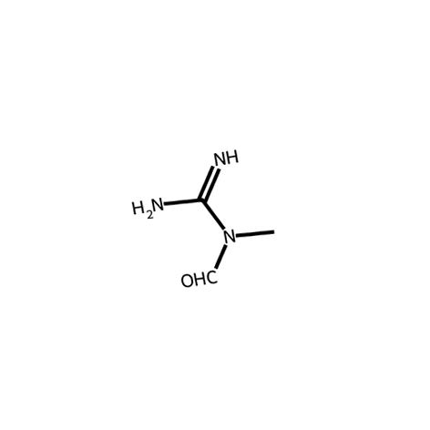 CN(C=O)C(=N)N